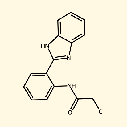 O=C(CCl)Nc1ccccc1-c1nc2ccccc2[nH]1